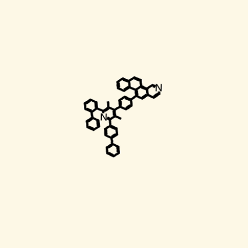 Cc1c(-c2ccc(-c3ccccc3)cc2)nc(-c2ccccc2-c2ccccc2)c(C)c1-c1ccc(-c2cc3ccncc3c3ccc4ccccc4c23)cc1